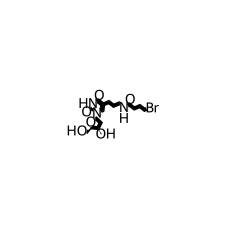 O=C(CCCBr)NCCCc1cn([C@H]2C[C@H](O)[C@@H](CO)O2)c(=O)[nH]c1=O